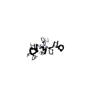 O=C(Nc1conc1/C(=N/O)Nc1ccc(F)c(Br)c1)NC1CCCCC1